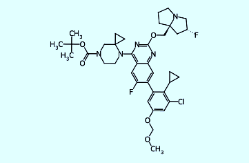 COCOc1cc(Cl)c(C2CC2)c(-c2cc3nc(OC[C@@]45CCCN4C[C@H](F)C5)nc(N4CCN(C(=O)OC(C)(C)C)CC45CC5)c3cc2F)c1